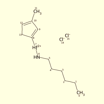 CCCCCC[NH][Hf+2][C]1=CC(C)=CC1.[Cl-].[Cl-]